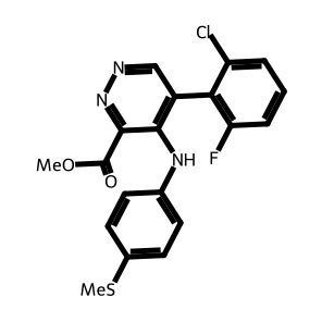 COC(=O)c1nncc(-c2c(F)cccc2Cl)c1Nc1ccc(SC)cc1